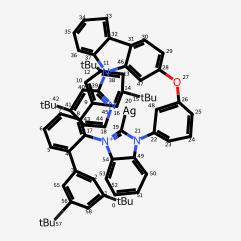 CC(C)(C)c1cc(-c2cccc(-c3cc(C(C)(C)C)cc(C(C)(C)C)c3)c2-[n+]2[c]([Ag])n(-c3cccc(Oc4ccc5c6ccccc6n(-c6cc(C(C)(C)C)ccn6)c5c4)c3)c3ccccc32)cc(C(C)(C)C)c1